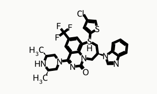 C[C@@H]1CN(c2nc(=O)n3c4c(cc(C(F)(F)F)cc24)[SH](c2cc(Cl)cs2)C[C@@H](n2cnc4ccccc42)C3)C[C@H](C)N1